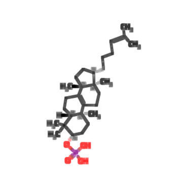 CC(C)=CCCC[C@H]1CC[C@@]2(C)C3=C(CC[C@]12C)[C@@]1(C)CC[C@H](OP(=O)(O)O)C(C)(C)[C@@H]1CC3